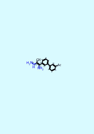 CC(=O)c1cccc(-c2cccc(/C(N)=C(\C#N)NN)c2)c1